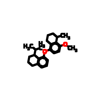 COc1ccc(Oc2cccc3c2C(C(C)C)CCC3)c2c1C(C)CCC2